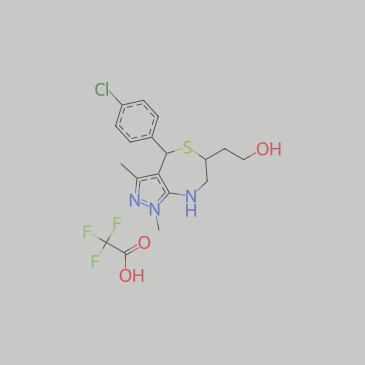 Cc1nn(C)c2c1C(c1ccc(Cl)cc1)SC(CCO)CN2.O=C(O)C(F)(F)F